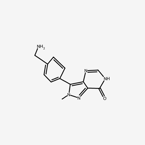 Cn1nc2c(=O)[nH]cnc2c1-c1ccc(CN)cc1